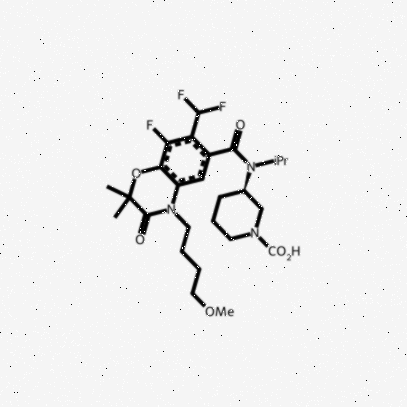 COCCCCN1C(=O)C(C)(C)Oc2c1cc(C(=O)N(C(C)C)[C@@H]1CCCN(C(=O)O)C1)c(C(F)F)c2F